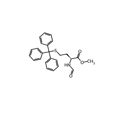 COC(=O)[C@H](CCSC(c1ccccc1)(c1ccccc1)c1ccccc1)NC=O